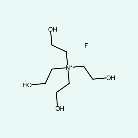 OCC[N+](CCO)(CCO)CCO.[F-]